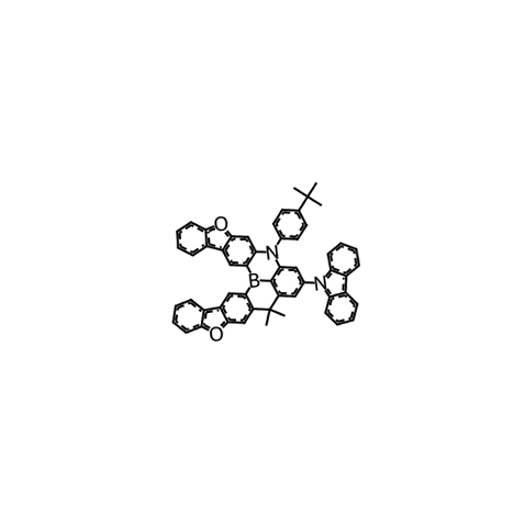 CC(C)(C)c1ccc(N2c3cc4oc5ccccc5c4cc3B3c4cc5c(cc4C(C)(C)c4cc(-n6c7ccccc7c7ccccc76)cc2c43)oc2ccccc25)cc1